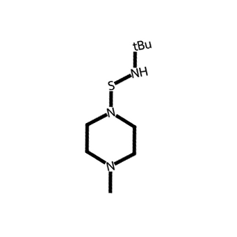 CN1CCN(SNC(C)(C)C)CC1